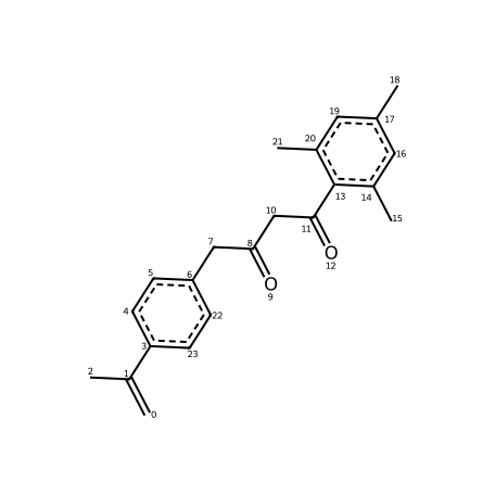 C=C(C)c1ccc(CC(=O)CC(=O)c2c(C)cc(C)cc2C)cc1